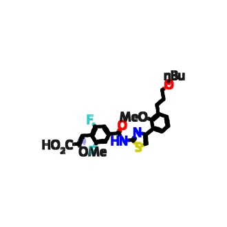 CCCCOCCCc1cccc(-c2csc(NC(=O)c3cc(F)c(/C=C(\OC)C(=O)O)c(F)c3)n2)c1OC